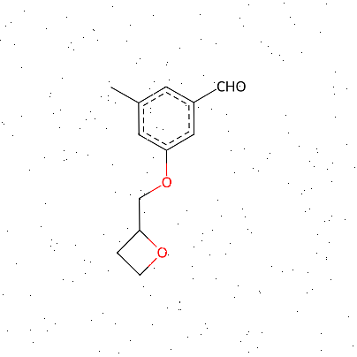 Cc1cc(C=O)cc(OCC2CCO2)c1